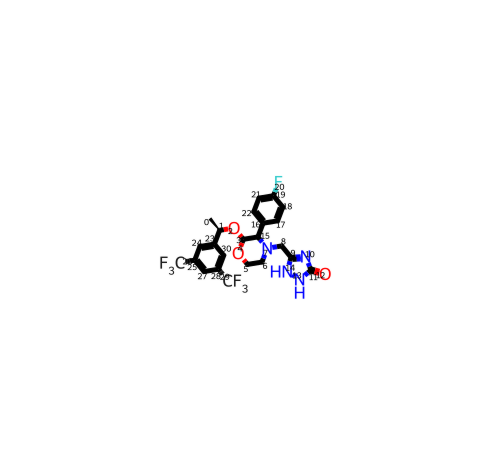 C[C@@H](OC1OCCN(Cc2nc(=O)[nH][nH]2)C1c1ccc(F)cc1)c1cc(C(F)(F)F)cc(C(F)(F)F)c1